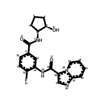 O=C(N[C@H]1CCC[C@H]1O)c1ccc(F)c(NC(=O)c2cnc3ccccn23)c1